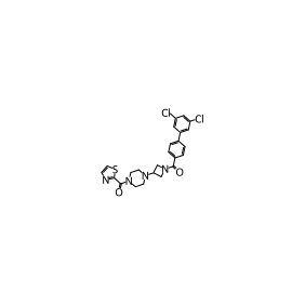 O=C(c1ccc(-c2cc(Cl)cc(Cl)c2)cc1)N1CC(N2CCN(C(=O)c3nccs3)CC2)C1